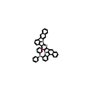 c1ccc(N(c2ccccc2)c2cccc3c4c5ccccc5cc5c6nc7c(cc6n(c23)c54)c2cccc3c4cc5ccccc5cc4n7c32)cc1